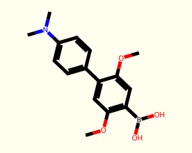 COc1cc(-c2ccc(N(C)C)cc2)c(OC)cc1B(O)O